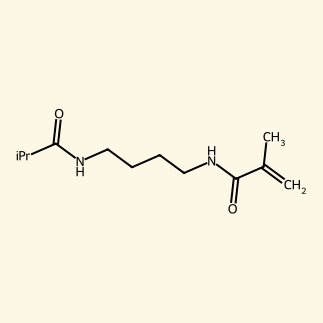 C=C(C)C(=O)NCCCCNC(=O)C(C)C